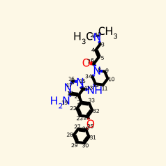 CN(C)CC=CC(=O)N1CCCC(Nc2ncnc(N)c2-c2ccc(Oc3ccccc3)cc2)C1